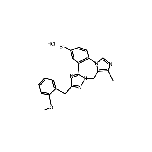 COc1ccccc1Cc1nc2n(n1)Cc1c(C)ncn1-c1ccc(Br)cc1-2.Cl